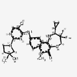 Cn1c(=O)c2c(c3cc(Nc4nc(N5CC[C@@](C)(O)C5)ncc4Cl)ccc31)N[C@@H](C1CC1)C(F)(F)CO2